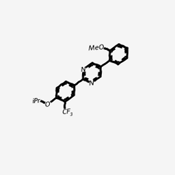 COc1ccccc1-c1cnc(-c2ccc(OC(C)C)c(C(F)(F)F)c2)nc1